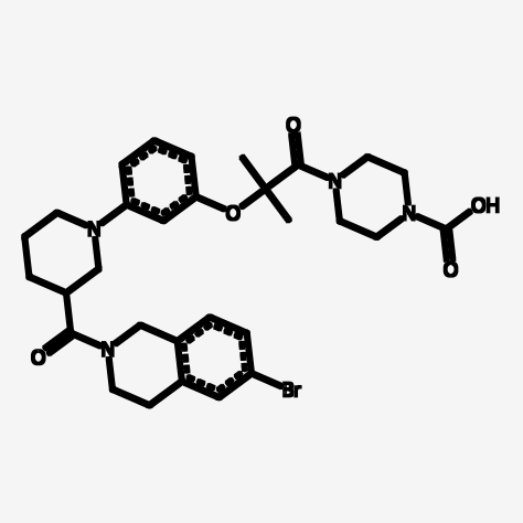 CC(C)(Oc1cccc(N2CCCC(C(=O)N3CCc4cc(Br)ccc4C3)C2)c1)C(=O)N1CCN(C(=O)O)CC1